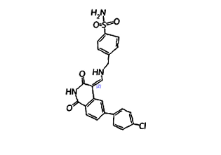 NS(=O)(=O)c1ccc(CN/C=C2\C(=O)NC(=O)c3ccc(-c4ccc(Cl)cc4)cc32)cc1